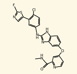 CNC(=O)c1cc(Oc2ccc3[nH]c(Nc4ccc(Cl)c(-c5cnc(F)s5)c4)nc3c2)ccn1